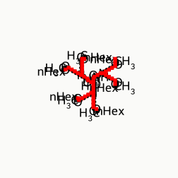 CCCCCCC(C)OC(=O)CCCCCCCCN(CCCCCCCCC(=O)OC(C)CCCCCC)CCCNC(=O)C1CC(C(=O)NCCCN(CCCCCCCCC(=O)OC(C)CCCCCC)CCCCCCCCC(=O)OC(C)CCCCCC)CC(C(=O)NCCCN(CCCCCCCCC(=O)OC(C)CCCCCC)CCCCCCCCC(=O)OC(C)CCCCCC)C1